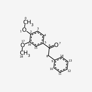 COc1ccc(C(=O)Cc2ccccc2)cc1OC